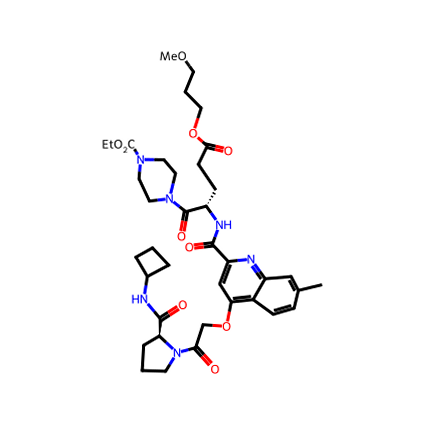 CCOC(=O)N1CCN(C(=O)[C@H](CCC(=O)OCCCOC)NC(=O)c2cc(OCC(=O)N3CCC[C@H]3C(=O)NC3CCC3)c3ccc(C)cc3n2)CC1